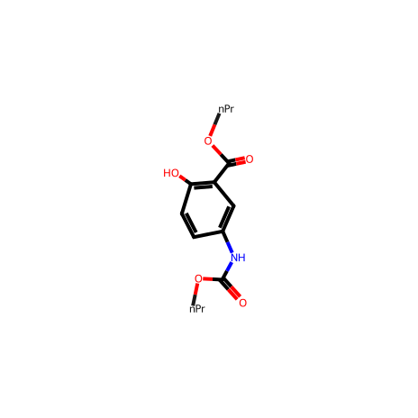 CCCOC(=O)Nc1ccc(O)c(C(=O)OCCC)c1